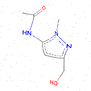 CC(=O)Nc1cc(CO)nn1C